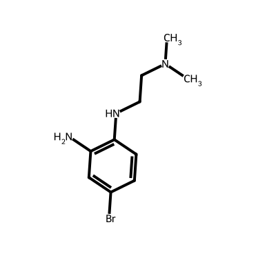 CN(C)CCNc1ccc(Br)cc1N